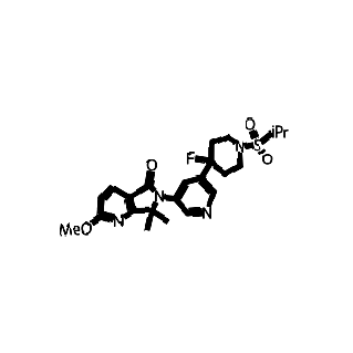 COc1ccc2c(n1)C(C)(C)N(c1cncc(C3(F)CCN(S(=O)(=O)C(C)C)CC3)c1)C2=O